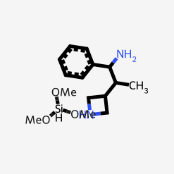 CC(C1CNC1)C(N)c1ccccc1.CO[SiH](OC)OC